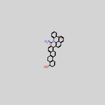 NC(=O)N(c1ccccc1C(F)(F)F)c1c(-c2cccc3c4c(ccc23)C2=C(CC4)C(O)CC=C2)ccc2ccccc12